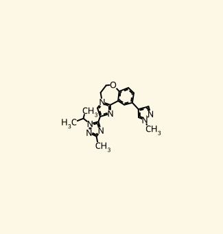 Cc1nc(-c2cn3c(n2)-c2cc(-c4cnn(C)c4)ccc2OCC3)n(C(C)C)n1